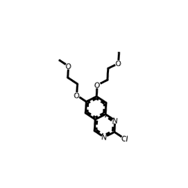 COCCOc1cc2cnc(Cl)nc2cc1OCCOC